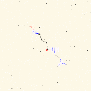 CCON=CCCC(=O)NCCN(C)C